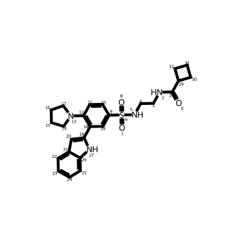 O=C(NCCNS(=O)(=O)c1ccc(N2CCCC2)c(-c2cc3ccccc3[nH]2)c1)C1CCC1